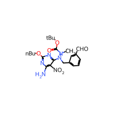 CCCCOc1nc(N)c([N+](=O)[O-])c(N(Cc2cccc(C=O)c2)N(C)C(=O)OC(C)(C)C)n1